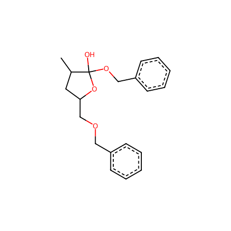 CC1CC(COCc2ccccc2)OC1(O)OCc1ccccc1